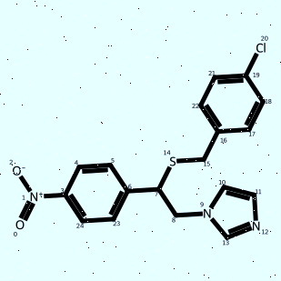 O=[N+]([O-])c1ccc(C(Cn2ccnc2)SCc2ccc(Cl)cc2)cc1